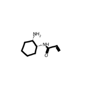 C=CC(=O)N[C@@H]1CCCC[C@@H]1N